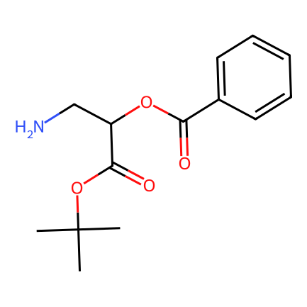 CC(C)(C)OC(=O)C(CN)OC(=O)c1ccccc1